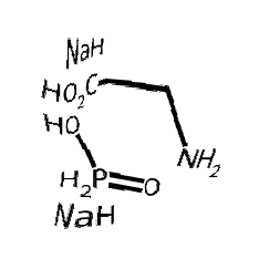 NCC(=O)O.O=[PH2]O.[NaH].[NaH]